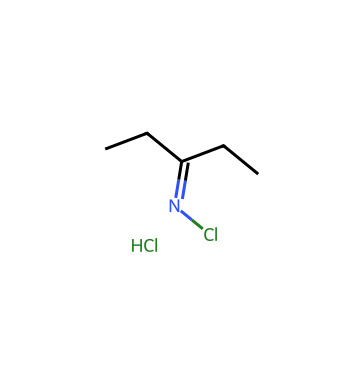 CCC(CC)=NCl.Cl